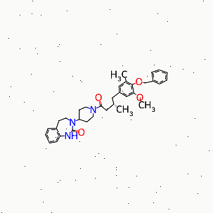 COc1cc(C[C@H](C)CC(=O)N2CCC(N3CCc4ccccc4NC3=O)CC2)cc(C)c1OCc1ccccc1